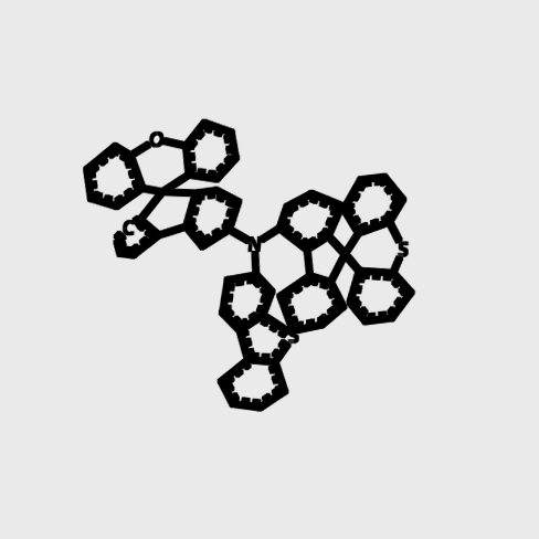 c1ccc2c(c1)Oc1ccccc1C21c2ccccc2-c2cc(N(c3ccc4c(c3)sc3ccccc34)c3cccc4c3-c3ccccc3C43c4ccccc4Sc4ccccc43)ccc21